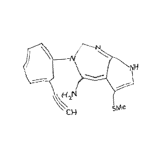 C#Cc1ccccc1N1CN=c2[nH]cc(SC)c2=C1N